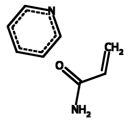 C=CC(N)=O.c1ccncc1